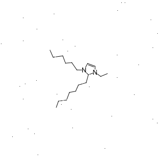 CCCCCCCC1N(CC)C=CN1CCCCCC